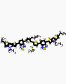 CC(C)CCc1cc(-c2ccc(-c3cc4c(s3)c3sc(CC(C)C)cc3n4C)c3nsnc23)sc1-c1sc(-c2ccc(-c3cc4c(s3)c3sc(CC(C)C)cc3n4C)c3nsnc23)cc1SCC(C)C